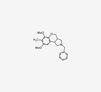 COc1cc2c(c(OC)c1C)OCC1CN(Cc3ccccc3)CC21